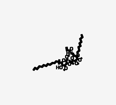 C=CC(=O)NCC1OC(C(C)(C)OC2C(COC)OC(C(C)(C)CCCCCCCCCCCC)C(O)C2OC)C(OC)C(OC)C1OCCCCCCCCC